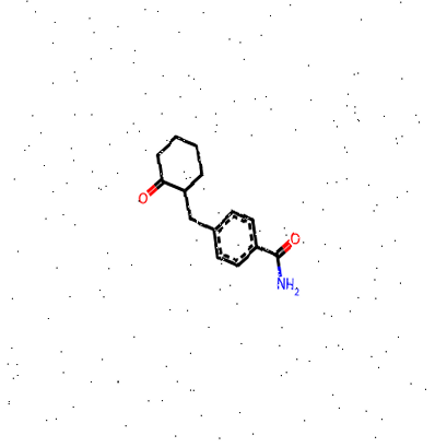 NC(=O)c1ccc(CC2CCCCC2=O)cc1